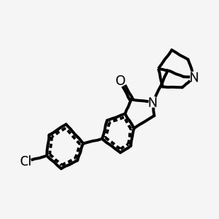 O=C1c2cc(-c3ccc(Cl)cc3)ccc2CN1C1CN2CCC1CC2